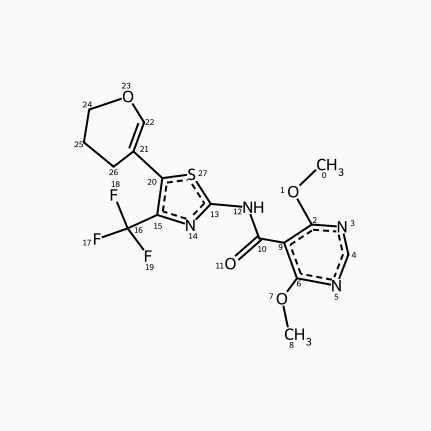 COc1ncnc(OC)c1C(=O)Nc1nc(C(F)(F)F)c(C2=COCCC2)s1